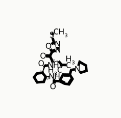 CSc1nnc(C(=O)[C@H](CC(C)C)NC(=O)[C@@H]2CCCC[C@@H]2NC(=O)c2cccc(CN3CCCC3)c2)o1